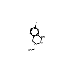 Cl.OC[C@@H]1Cc2ccc(F)cc2CN1